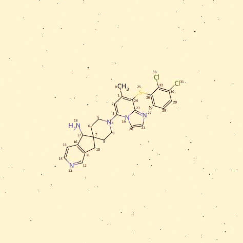 Cc1cc(N2CCC3(CC2)Cc2cnccc2C3N)n2ccnc2c1Sc1cccc(Cl)c1Cl